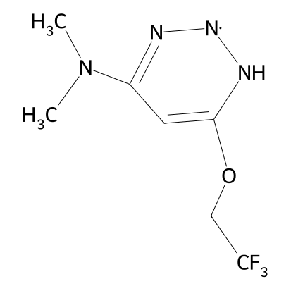 CN(C)C1=N[N]NC(OCC(F)(F)F)=C1